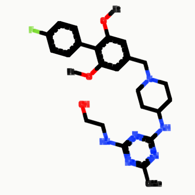 CCOc1cc(CN2CCC(Nc3nc(NCCO)nc(OC)n3)CC2)cc(OCC)c1-c1ccc(F)cc1